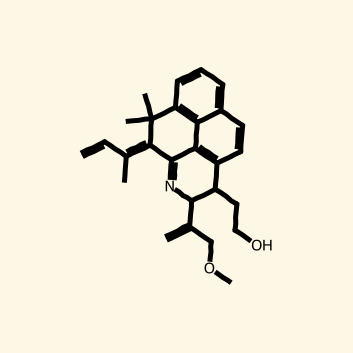 C=C/C(C)=C1/C2=NC(C(=C)COC)C(CCO)c3ccc4cccc(c4c32)C1(C)C